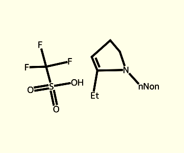 CCCCCCCCCN1CCC=C1CC.O=S(=O)(O)C(F)(F)F